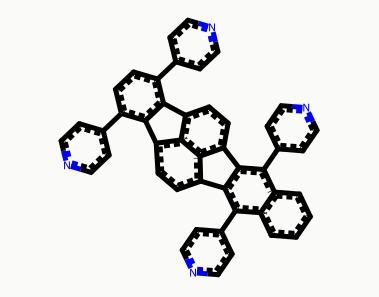 c1ccc2c(-c3ccncc3)c3c(c(-c4ccncc4)c2c1)-c1ccc2c4c(ccc-3c14)-c1c(-c3ccncc3)ccc(-c3ccncc3)c1-2